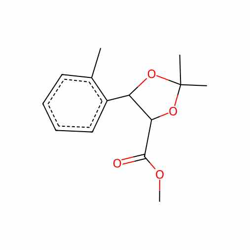 COC(=O)C1OC(C)(C)OC1c1ccccc1C